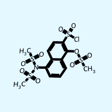 CS(=O)(=O)Oc1c(S(=O)(=O)Cl)ccc2c(N(S(C)(=O)=O)S(C)(=O)=O)cccc12